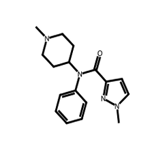 CN1CCC(N(C(=O)c2ccn(C)n2)c2ccccc2)CC1